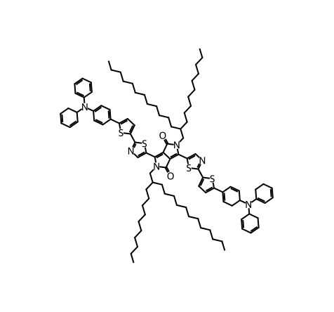 CCCCCCCCCCCCC(CCCCCCCCCC)CN1C(=O)C2=C(c3cnc(-c4ccc(-c5ccc(N(c6ccccc6)C6C=CC=CC6)cc5)s4)s3)N(CC(CCCCCCCCCC)CCCCCCCCCCCC)C(=O)C2=C1c1cnc(-c2ccc(C3=CCC(N(C4=CC=CCC4)C4C=CC=CC4)C=C3)s2)s1